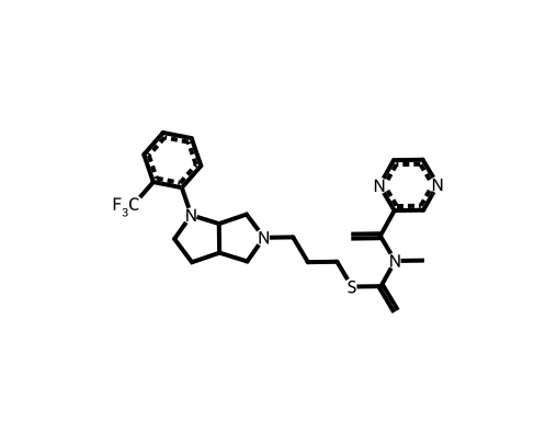 C=C(SCCCN1CC2CCN(c3ccccc3C(F)(F)F)C2C1)N(C)C(=C)c1cnccn1